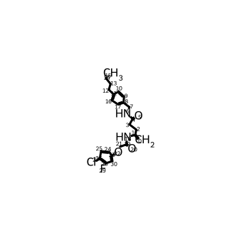 C=C(CCC(=O)NCc1ccc(CCCC)cc1)NC(=O)COc1ccc(Cl)c(F)c1